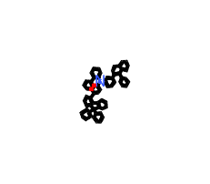 C1=CC2=C(CC1)C(c1ccccc1)(c1ccccc1)c1cccc(-c3ccc(N(c4cccc(-c5ccc6ccccc6c5-c5ccccc5)c4)c4ccccc4-c4ccccc4)cc3)c12